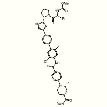 CNC(=O)N1CCN(c2ccc(C(=O)Nc3cc(C)c(-c4ccc(-c5c[nH]c([C@@H]6CCCN6C(=O)[C@@H](NC(=O)OC)C(C)C)n5)cc4)cc3Cl)cn2)[C@H](C)C1